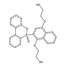 O=P1(c2cc(OCCO)c3ccccc3c2OCCO)Oc2ccccc2-c2ccccc21